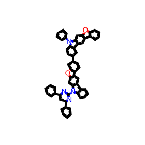 c1ccc(-c2cc(-c3ccccc3)nc(-n3c4ccccc4c4cc5c(cc43)oc3cc(-c4ccc6c(c4)c4cc7c(cc4n6-c4ccccc4)oc4ccccc47)ccc35)n2)cc1